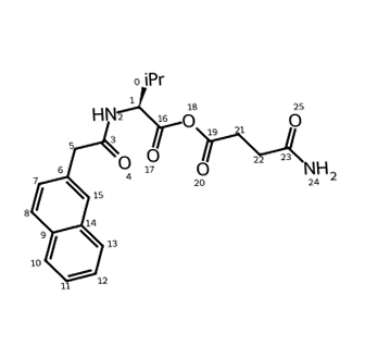 CC(C)[C@H](NC(=O)Cc1ccc2ccccc2c1)C(=O)OC(=O)CCC(N)=O